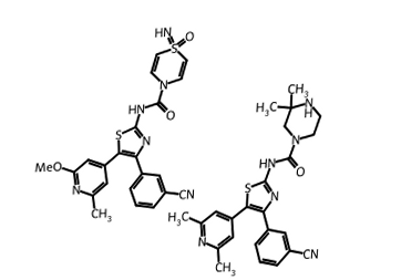 COc1cc(-c2sc(NC(=O)N3C=CS(=N)(=O)C=C3)nc2-c2cccc(C#N)c2)cc(C)n1.Cc1cc(-c2sc(NC(=O)N3CCNC(C)(C)C3)nc2-c2cccc(C#N)c2)cc(C)n1